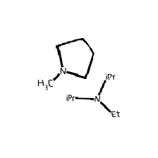 CCN(C(C)C)C(C)C.CN1CCCC1